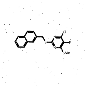 CSc1nc(SCc2ccc3ccccc3c2)nc(Cl)c1F